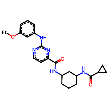 CCOc1cccc(Nc2nccc(C(=O)NC3CCCC(NC(=O)C4CC4)C3)n2)c1